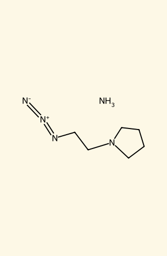 N.[N-]=[N+]=NCCN1CCCC1